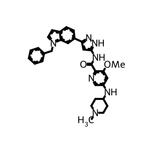 COc1cc(NC2CCN(C)CC2)cnc1C(=O)Nc1cc(-c2ccc3ccn(Cc4ccccc4)c3c2)n[nH]1